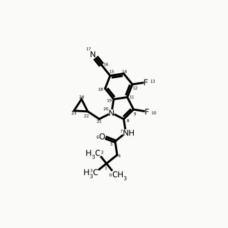 CC(C)(C)CC(=O)Nc1c(F)c2c(F)cc(C#N)cc2n1CC1CC1